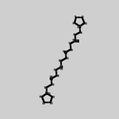 C1CCN(CCNCCOCCOCCOCCN2CCCC2)C1